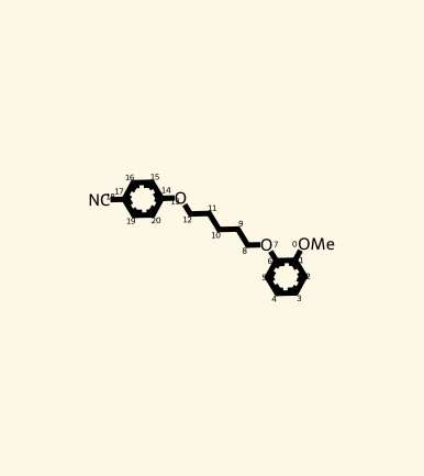 COc1ccccc1OCCCCCOc1ccc(C#N)cc1